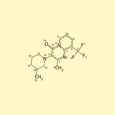 Cc1nc2c(C(F)(F)F)cccn2c(=O)c1N1CCCC(C)C1